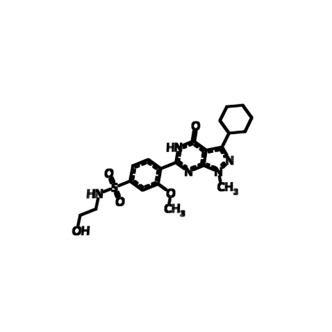 COc1cc(S(=O)(=O)NCCO)ccc1-c1nc2c(c(C3CCCCC3)nn2C)c(=O)[nH]1